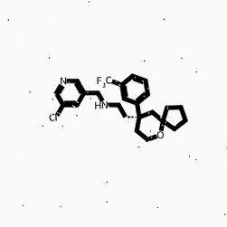 FC(F)(F)c1cccc([C@]2(CCNCc3cncc(Cl)c3)CCOC3(CCCC3)C2)c1